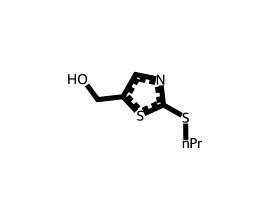 CCCSc1ncc(CO)s1